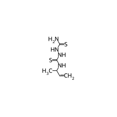 C=CC(C)NC(=S)NNC(N)=S